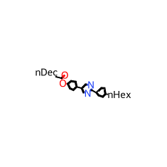 CCCCCCCCCCCC(=O)Oc1ccc(-c2cnc(-c3ccc(CCCCCC)cc3)nc2)cc1